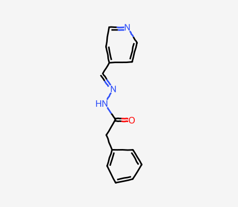 O=C(Cc1ccccc1)NN=Cc1ccncc1